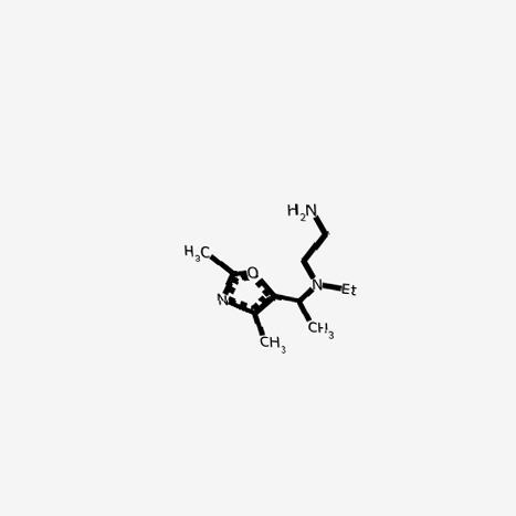 CCN(CCN)C(C)c1oc(C)nc1C